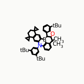 CC(C)(C)c1cc(N2c3cc4c(cc3B3c5c2cccc5C(C)(C)C2Oc5c(cccc5C(C)(C)C)C32)C2(CC2)CCC42CC2)cc(C(C)(C)C)c1